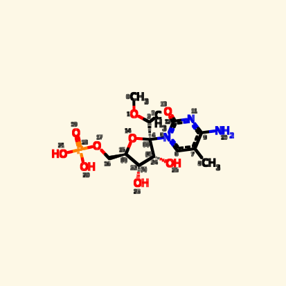 COC(C)[C@@]1(n2cc(C)c(N)nc2=O)O[C@H](COP(=O)(O)O)[C@@H](O)[C@H]1O